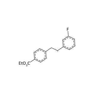 CCOC(=O)c1ccc(C[CH]c2cccc(F)c2)cc1